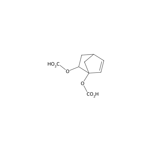 O=C(O)OC1CC2C=CC1(OC(=O)O)C2